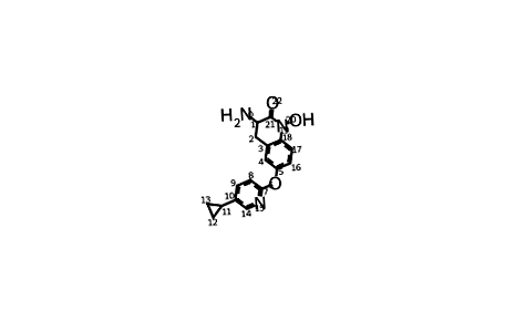 NC1Cc2cc(Oc3ccc(C4CC4)cn3)ccc2N(O)C1=O